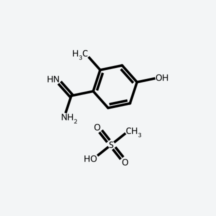 CS(=O)(=O)O.Cc1cc(O)ccc1C(=N)N